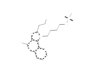 CS(=O)(=O)NCCCCn1c(CCO)nc2c(N)nc3cccnc3c21